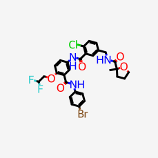 CC1(C(=O)NCc2ccc(Cl)c(C(=O)Nc3ccc(OCC(F)F)c(C(=O)Nc4ccc(Br)cc4)c3)c2)CCCO1